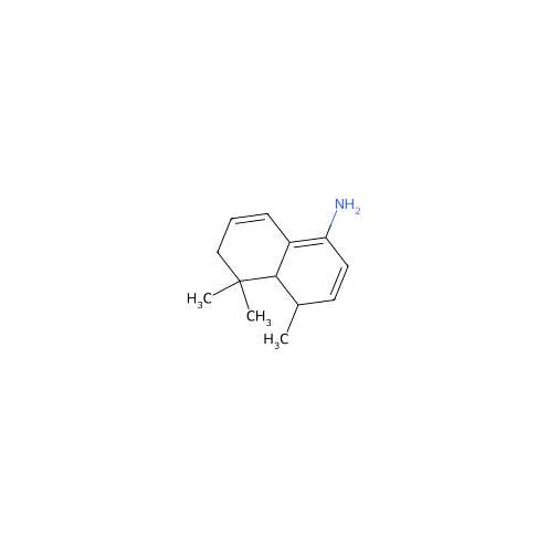 CC1C=CC(N)=C2C=CCC(C)(C)C21